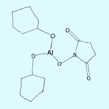 O=C1CCC(=O)N1[O][Al]([O]C1CCCCC1)[O]C1CCCCC1